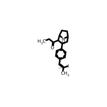 CCC(=O)C1C2CCC(CC1c1ccc(/C=C(/C)I)cc1)N2